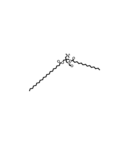 CCCCCCCCCCCCCCCCCCCC(=O)OCC(COC=O)(COC(=O)CCCCCCCCCCCCC)C[N+](C)(C)C